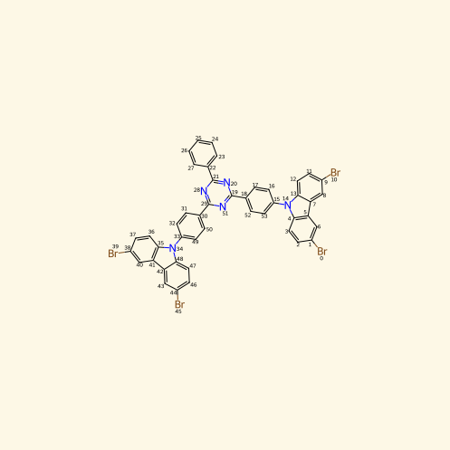 Brc1ccc2c(c1)c1cc(Br)ccc1n2-c1ccc(-c2nc(-c3ccccc3)nc(-c3ccc(-n4c5ccc(Br)cc5c5cc(Br)ccc54)cc3)n2)cc1